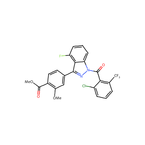 COC(=O)c1ccc(-c2nn(C(=O)c3c(Cl)cccc3C(F)(F)F)c3cccc(F)c23)cc1OC